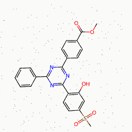 COC(=O)c1ccc(-c2nc(-c3ccccc3)nc(-c3ccc(S(C)(=O)=O)cc3O)n2)cc1